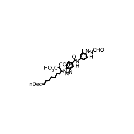 CCCCCCCCCCCCCCCCCC(C(C(=O)O)C(=O)O)n1nnc2cc(C(=O)Nc3ccc(NNC=O)cc3)ccc21